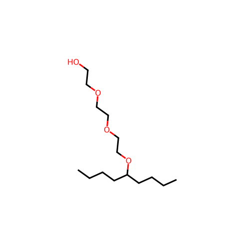 CCCCC(CCCC)OCCOCCOCCO